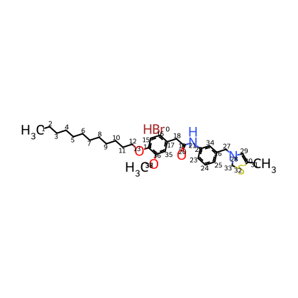 Br.CCCCCCCCCCCCOc1ccc(CC(=O)Nc2cccc(CN3C=C(C)SC3)c2)cc1OC